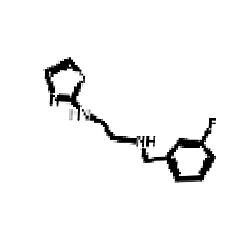 Fc1cccc(CNCCNc2nccs2)c1